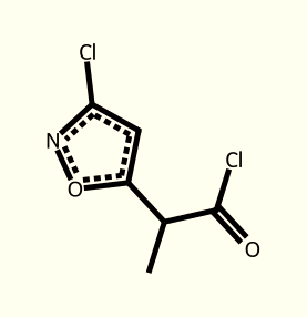 CC(C(=O)Cl)c1cc(Cl)no1